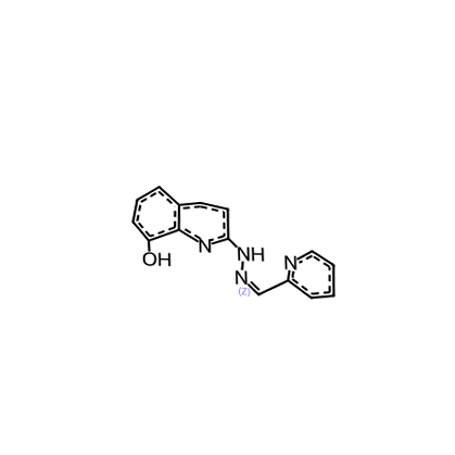 Oc1cccc2ccc(N/N=C\c3ccccn3)nc12